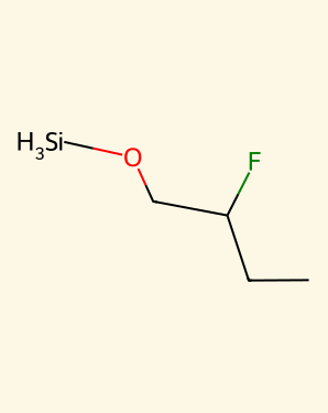 CCC(F)CO[SiH3]